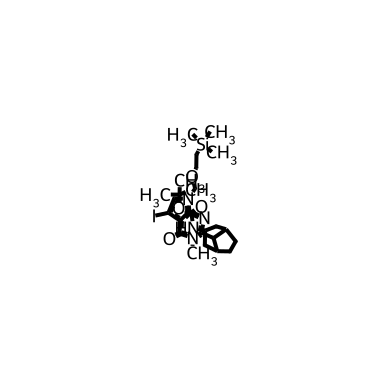 Cn1c(C2C3CCC2CC(NC(=O)OC(C)(C)C)C3)nc2c(c(I)cn2COCC[Si](C)(C)C)c1=O